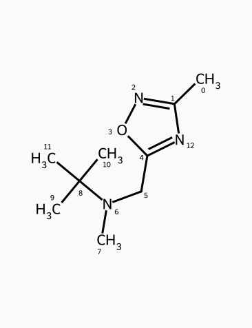 Cc1noc(CN(C)C(C)(C)C)n1